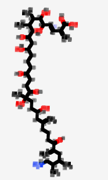 C=C(CCCC(=O)C(=C)CC(C)C(C)CN)CC(O)CCC(C)(O)C(=O)CCC(=O)CCCC(O)CC(=O)CC(C)C(C)C(O)C(O)/C=C/C(=C)C(=O)O